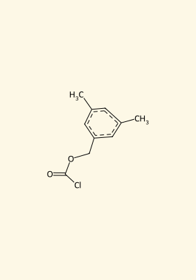 Cc1cc(C)cc(COC(=O)Cl)c1